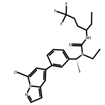 CCC(CCC(F)(F)F)NC(=O)N(CC)[C@H](C)c1cccc(-c2cc(Cl)n3nccc3c2)c1